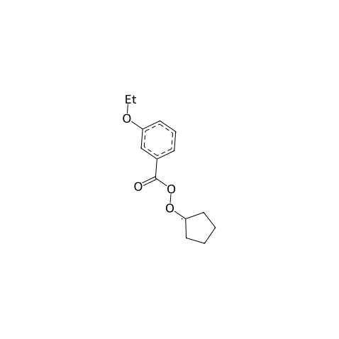 CCOc1cccc(C(=O)OO[C]2CCCC2)c1